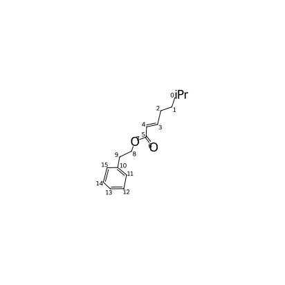 CC(C)CC/C=C/C(=O)OCCc1ccccc1